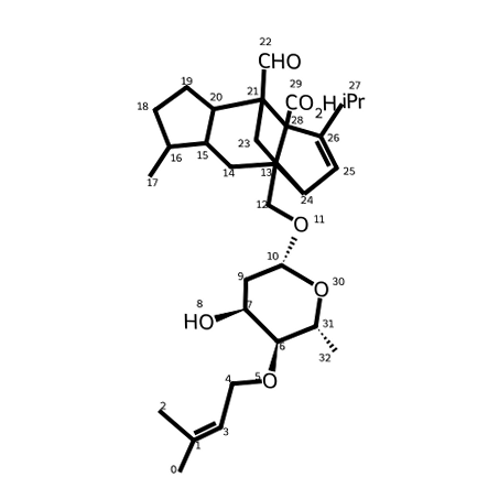 CC(C)=CCO[C@H]1[C@@H](O)C[C@H](OCC23CC4C(C)CCC4C4(C=O)CC2C=C(C(C)C)C43C(=O)O)O[C@@H]1C